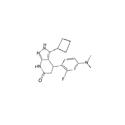 CN(C)c1ccc(C2CC(=O)Nc3n[nH]c(C4CCC4)c32)c(F)c1